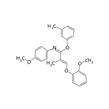 COc1ccc(/N=C(Oc2cccc(C)c2)\C(C)=C\Oc2ccccc2OC)cc1